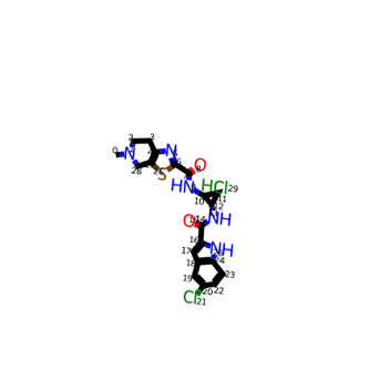 CN1CCc2nc(C(=O)NC3CC3NC(=O)c3cc4cc(Cl)ccc4[nH]3)sc2C1.Cl